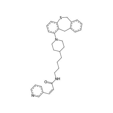 O=C(/C=C\c1cccnc1)NCCCCC1CCN(c2cccc3c2Cc2ccccc2CS3)CC1